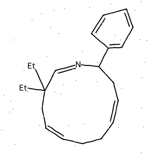 CCC1(CC)C=NC(c2ccccc2)CC=CCCC=CC1